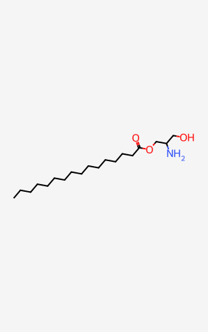 CCCCCCCCCCCCCCCC(=O)OCC(N)CO